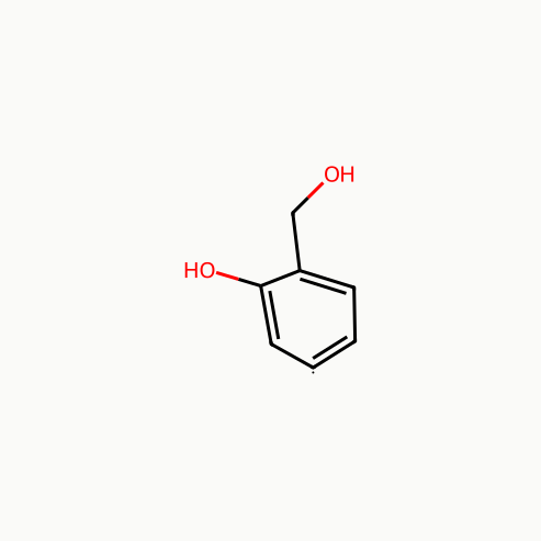 OCc1cc[c]cc1O